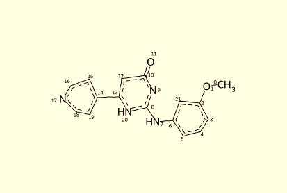 COc1cccc(Nc2nc(=O)cc(-c3ccncc3)[nH]2)c1